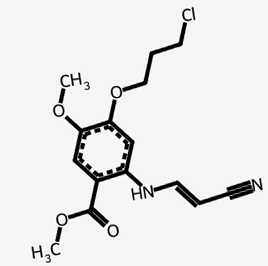 COC(=O)c1cc(OC)c(OCCCCl)cc1N/C=C/C#N